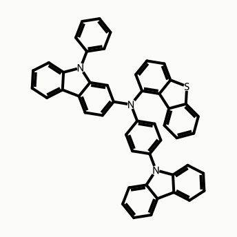 c1ccc(-n2c3ccccc3c3ccc(N(c4ccc(-n5c6ccccc6c6ccccc65)cc4)c4cccc5sc6ccccc6c45)cc32)cc1